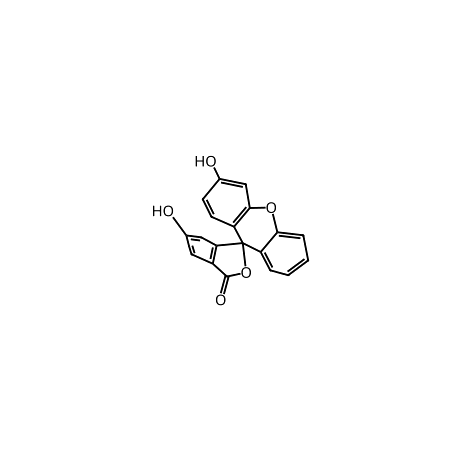 O=C1OC2(c3ccccc3Oc3cc(O)ccc32)c2cc(O)ccc21